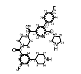 O=C(c1cc(F)cc(C2CCNCC2)c1)N1CCN(C(=O)c2cnc(O[C@H]3CCNC3)c(-c3ccc(F)cc3)c2)CC1